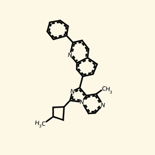 Cc1nccn2c(C3CC(C)C3)nc(-c3ccc4ccc(-c5ccccc5)nc4c3)c12